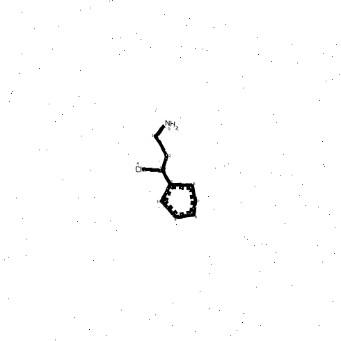 NCCC(Cl)c1ccccc1